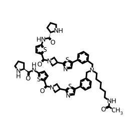 CC(=O)NCCCCCCN(Cc1cccc(-c2cnc(C3CN(C(=O)c4ccc(NC(=O)[C@@H]5CCCN5)s4)C3)s2)c1)Cc1cccc(-c2cnc(C3CN(C(=O)c4ccc(NC(=O)[C@@H]5CCCN5)s4)C3)s2)c1